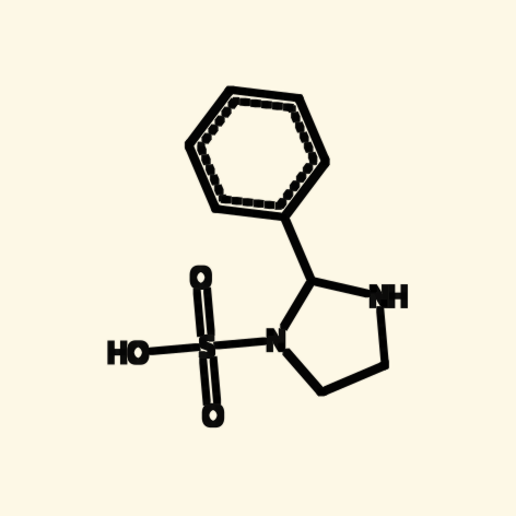 O=S(=O)(O)N1CCNC1c1ccccc1